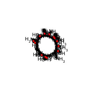 CCCC[C@H]1C(=O)N(C)[C@@H](CCCC)C(=O)N[C@@H](CCC(=O)O)C(=O)N[C@H](C(=O)NCC(N)=O)CSCC(=O)N[C@@H](Cc2ccc(O)cc2)C(=O)N(C)[C@@H](C)C(=O)N[C@@H](CC(=O)O)C(=O)N2CCCC2C(=O)N[C@@H](Cc2cnc[nH]2)C(=O)N[C@@H](CCCCN)C(=O)N2C[C@H](O)C[C@H]2C(=O)N[C@@H](Cc2c[nH]c3ccccc23)C(=O)N[C@@H](CCCCN)C(=O)N[C@@H](Cc2cn(CC(=O)O)c3ccccc23)C(=O)N1C